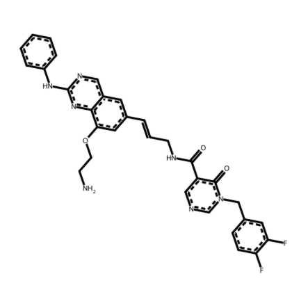 NCCOc1cc(C=CCNC(=O)c2cncn(Cc3ccc(F)c(F)c3)c2=O)cc2cnc(Nc3ccccc3)nc12